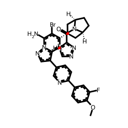 COc1ccc(-c2ccc(-c3cnn4c(N)c(Br)c([C@@H]5C[C@H]6CC[C@@H](C5)N6C(=O)c5nnc[nH]5)nc34)cn2)cc1F